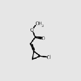 COC(=O)C=C1CC1Cl